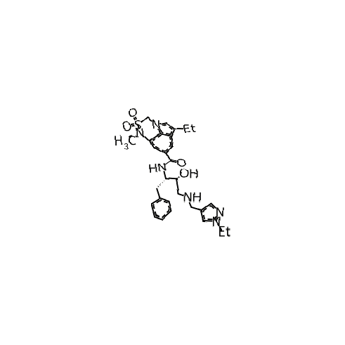 CCc1cn2c3c(cc(C(=O)N[C@@H](Cc4ccccc4)[C@H](O)CNCc4cnn(CC)c4)cc13)N(C)S(=O)(=O)C2